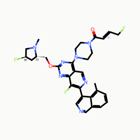 Cc1cccc2cncc(-c3ncc4c(N5CCN(C(=O)/C=C/CF)CC5)nc(OC[C@@H]5C[C@@H](F)CN5C)nc4c3F)c12